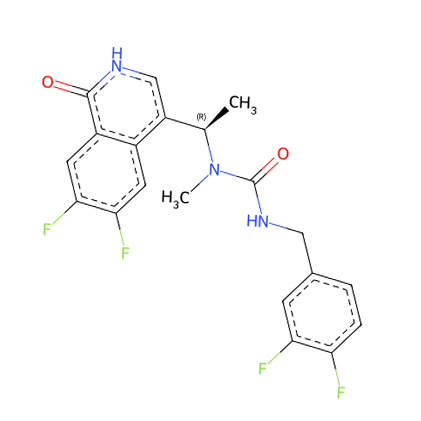 C[C@H](c1c[nH]c(=O)c2cc(F)c(F)cc12)N(C)C(=O)NCc1ccc(F)c(F)c1